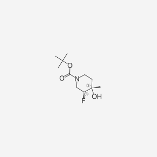 CC(C)(C)OC(=O)N1CC[C@](C)(O)[C@@H](F)C1